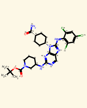 CC(C)(C)OC(=O)N1CCCC(Nc2ncc3nc(Nc4c(F)cc(Cl)cc4F)n([C@H]4CC[C@@H](C(N)=O)CC4)c3n2)C1